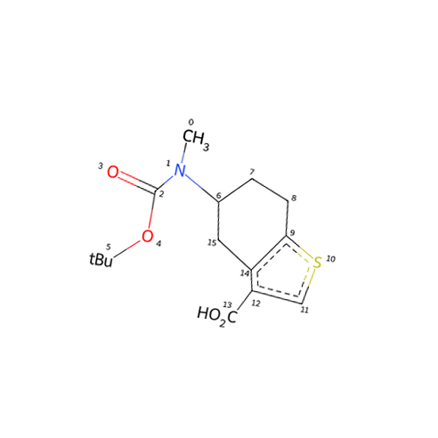 CN(C(=O)OC(C)(C)C)C1CCc2scc(C(=O)O)c2C1